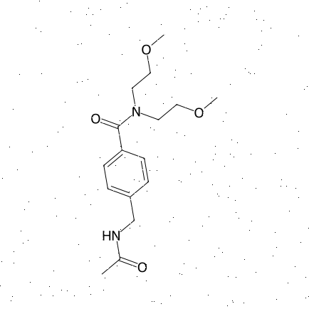 COCCN(CCOC)C(=O)c1ccc(CNC(C)=O)cc1